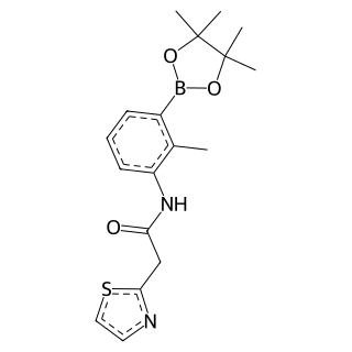 Cc1c(NC(=O)Cc2nccs2)cccc1B1OC(C)(C)C(C)(C)O1